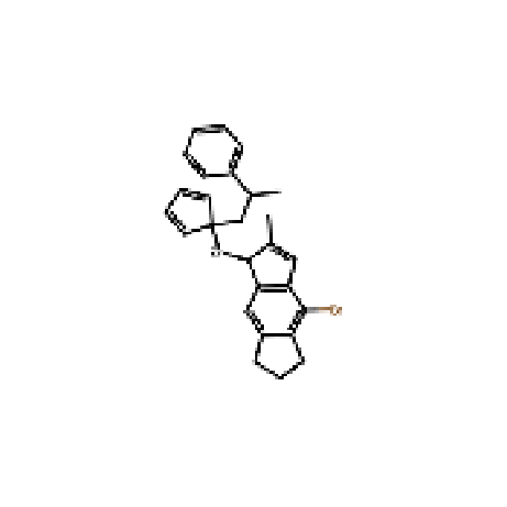 CC1=Cc2c(cc3c(c2Br)CCC3)[CH]1[Zr][C]1(CC(C)c2ccccc2)C=CC=C1